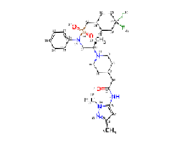 Cc1cc(NC(=O)CC2CCN([C@H](C)CN(c3ccccc3)S(=O)(=O)CC3CCC(F)(F)CC3)CC2)n(C)n1